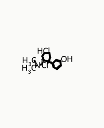 CN(C)C[C@H]1CCCC[C@]1(Cl)c1cccc(O)c1.Cl